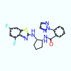 O=C(N[C@@H]1CCC[C@H]1Nc1nc2c(F)cc(F)cc2s1)c1ccccc1-n1nccn1